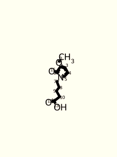 COc1cccn(CCCCC(=O)O)c1=O